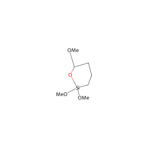 COC1CCC[Si](OC)(OC)O1